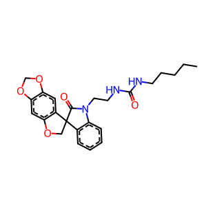 CCCCCNC(=O)NCCN1C(=O)C2(COc3cc4c(cc32)OCO4)c2ccccc21